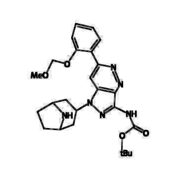 COCOc1ccccc1-c1cc2c(nn1)c(NC(=O)OC(C)(C)C)nn2C1CC2CCC(C1)N2